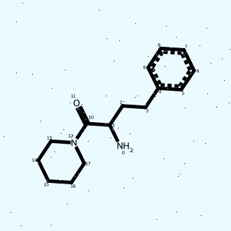 NC(CCc1ccccc1)C(=O)N1CCCCC1